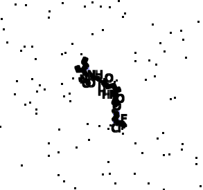 C=C/C=C(\C=C)C1NC(CNC(=O)CCC(=C)NC(=O)CO/C=C/C=C(/Cl)C(=C)F)OON1C